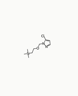 C[Si](C)(C)CCOCn1nccc1Cl